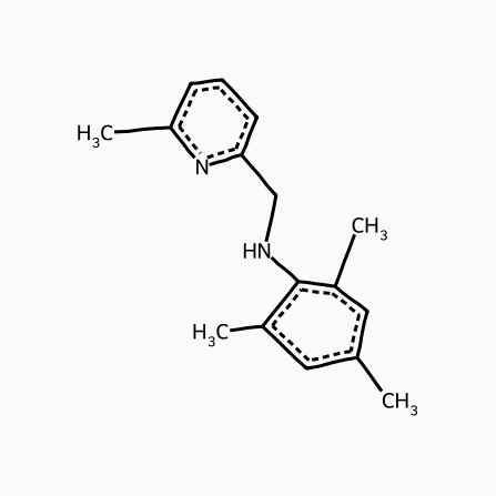 Cc1cc(C)c(NCc2cccc(C)n2)c(C)c1